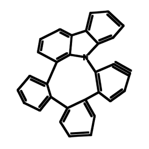 c1ccc2c3ccccc3c3ccccc3c3cccc4c5ccccc5n(c2c#1)c34